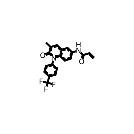 C=CC(=O)Nc1ccc2c(c1)cc(C)c(=O)n2-c1ccc(C(F)(F)F)cc1